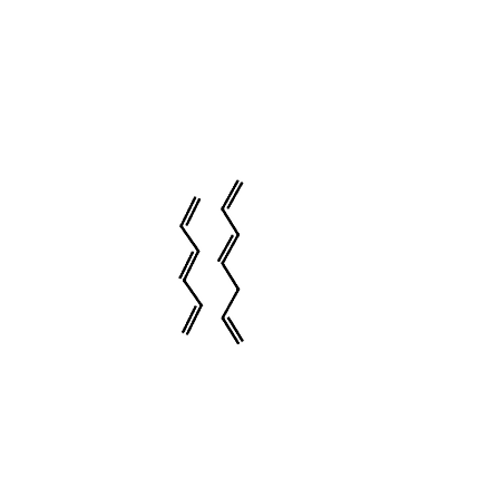 C=C/C=C/C=C.C=C/C=C/CC=C